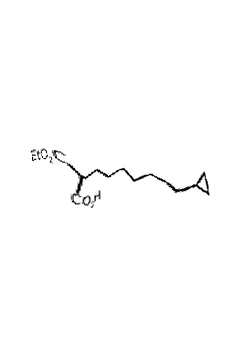 CCOC(=O)C(CCCCCCC1CC1)C(=O)O